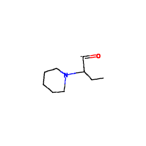 CCC([C]=O)N1CCCCC1